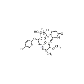 COC(=O)[C@H](C)/N=[P+](\[O-])OC(Oc1ccc(Br)cc1)[C@@H]1O[C@@H](n2ccc(=O)[nH]c2=O)[C@](C)(F)[C@@H]1O